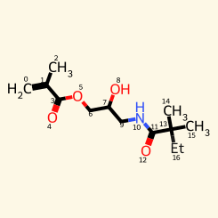 C=C(C)C(=O)OCC(O)CNC(=O)C(C)(C)CC